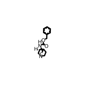 O=C(N[C@@H]1CN2CCC1CC2)OCc1ccccc1